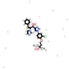 CC(C)(O)CCOc1ccc(-n2cc(C(O)c3c(-c4ccccc4)sc4cncn34)nn2)cc1Cl